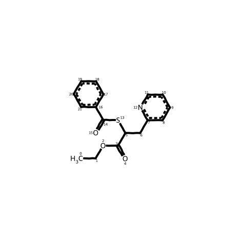 CCOC(=O)C(Cc1ccccn1)SC(=O)c1ccccc1